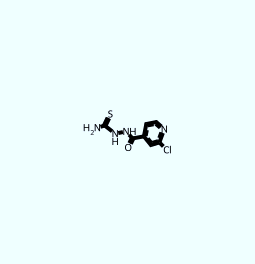 NC(=S)NNC(=O)c1ccnc(Cl)c1